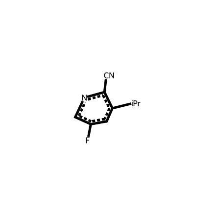 CC(C)c1cc(F)cnc1C#N